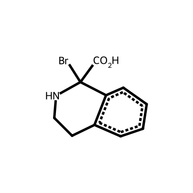 O=C(O)C1(Br)NCCc2ccccc21